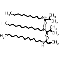 C=C(C)C(=O)NCCCCCCCCCC.C=C(C)C(=O)NCCCCCCCCCCCC.C=CC(=O)NCCCCCCCCCCCC